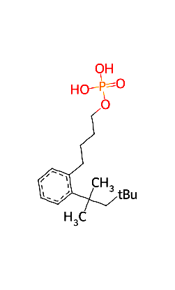 CC(C)(C)CC(C)(C)c1ccccc1CCCCOP(=O)(O)O